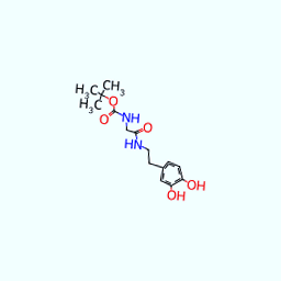 CC(C)(C)OC(=O)NCC(=O)NCCc1ccc(O)c(O)c1